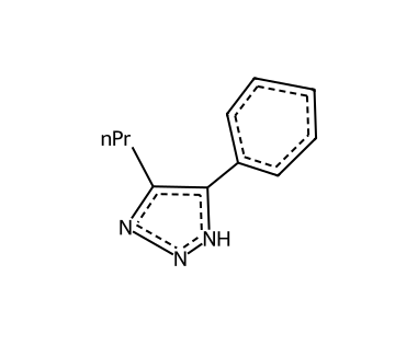 CCCc1nn[nH]c1-c1ccccc1